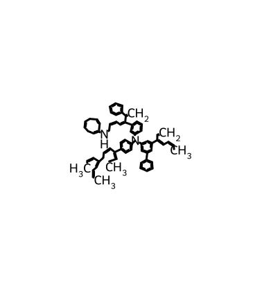 C=C/C(=C\C=C/C)c1cc(-c2ccccc2)cc(N(c2ccc(C(/C=C\CC(/C=C\C)=C/C=C\C)=C/CC)cc2)c2cccc(/C(=C/C=C\CNC3=C/C/C=C\C/C=C\3)C(=C)c3ccccc3)c2)c1